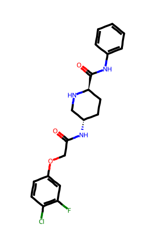 O=C(COc1ccc(Cl)c(F)c1)N[C@H]1CC[C@H](C(=O)Nc2ccccc2)NC1